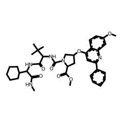 CNC(=O)C(NC(=O)C(NC(=O)N1CC(Oc2cc(-c3ccccc3)nc3cc(OC)ccc23)CC1C(=O)OC)C(C)(C)C)C1CCCCC1